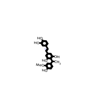 COc1cc(C(C)c2c(O)cc(/C=C/c3ccc(O)c(O)c3)cc2O)ccc1O